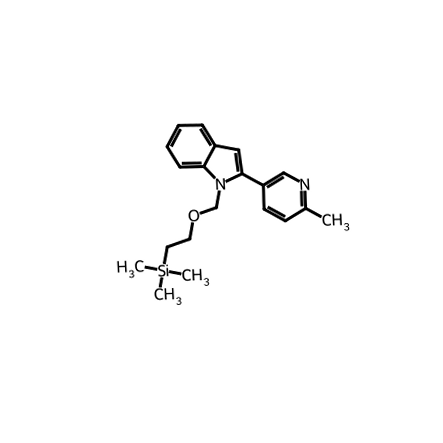 Cc1ccc(-c2cc3ccccc3n2COCC[Si](C)(C)C)cn1